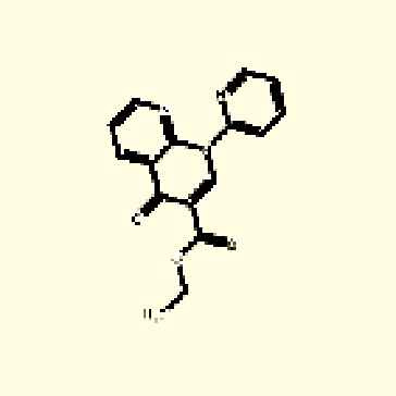 CCOC(=O)c1cn(-c2ccccn2)c2ncccc2c1=O